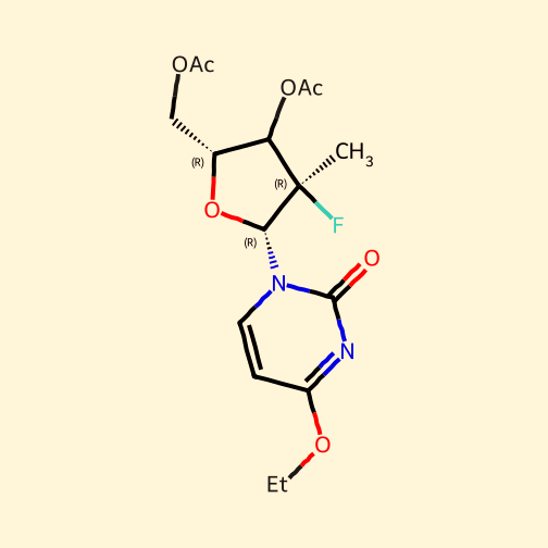 CCOc1ccn([C@@H]2O[C@H](COC(C)=O)C(OC(C)=O)[C@@]2(C)F)c(=O)n1